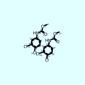 COC(=O)Nc1ccc(Cl)c(Cl)c1.COC(=O)Nc1ccc(Cl)c(Cl)c1